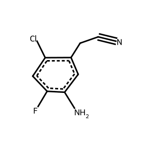 N#CCc1cc(N)c(F)cc1Cl